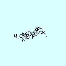 COc1cc(N)cc(Oc2c(Cl)ccc(CNC(=O)c3[nH]c(C)nc3Cl)c2F)c1